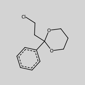 ClCCC1(c2ccccc2)OCCCO1